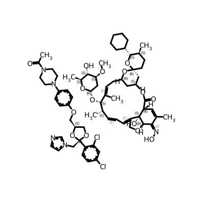 CC(=O)N1CCN(c2ccc(OC[C@H]3CO[C@](Cn4ccnc4)(c4ccc(Cl)cc4Cl)O3)cc2)CC1.CO[C@H]1C[C@H](O[C@@H]2/C(C)=C/C[C@@H]3C[C@@H](C[C@]4(CC[C@H](C)[C@@H](C5CCCCC5)O4)O3)OC(=O)[C@@H]3C=C(C)/C(=N/O)[C@H]4OC/C(=C\C=C\[C@@H]2C)[C@]43O)O[C@@H](C)[C@@H]1O